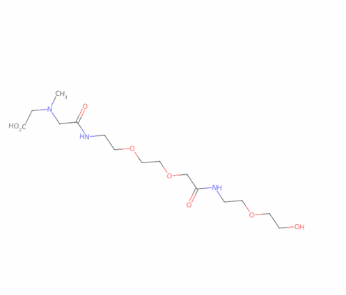 CN(CC(=O)O)CC(=O)NCCOCCOCC(=O)NCCOCCO